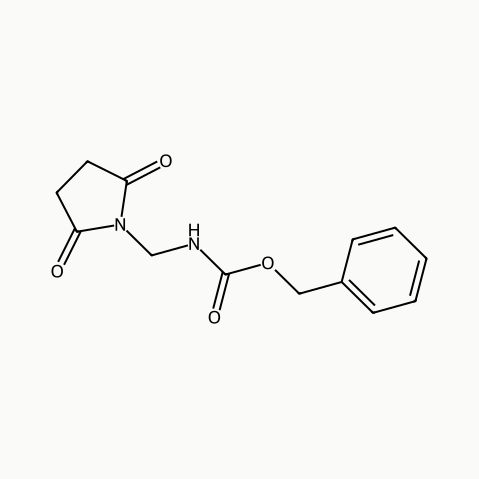 O=C(NCN1C(=O)CCC1=O)OCc1ccccc1